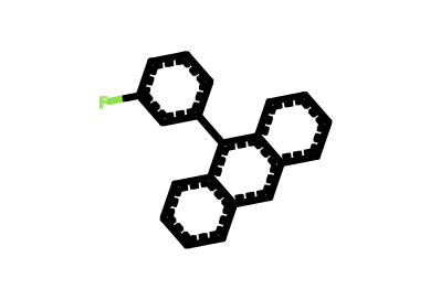 Fc1cccc(-c2c3ccccc3cc3ccccc23)c1